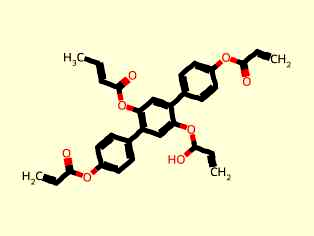 C=CC(=O)Oc1ccc(-c2cc(OC(O)C=C)c(-c3ccc(OC(=O)C=C)cc3)cc2OC(=O)/C=C/C)cc1